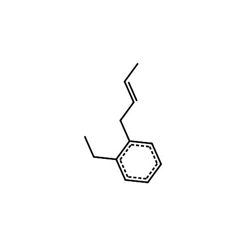 CC=CCc1ccccc1CC